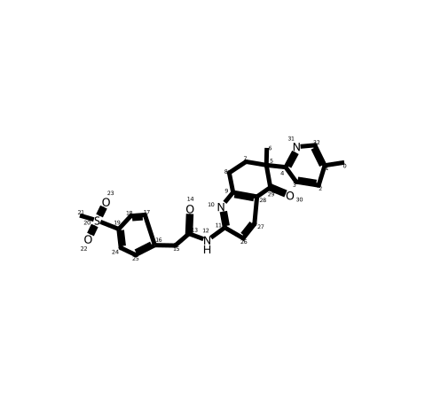 Cc1ccc(C2(C)CCc3nc(NC(=O)Cc4ccc(S(C)(=O)=O)cc4)ccc3C2=O)nc1